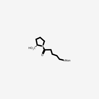 CCCCCCCCCCCCCC(=O)N1CCC[C@H]1C(=O)O